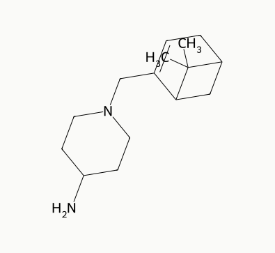 CC1(C)C2CC=C(CN3CCC(N)CC3)C1C2